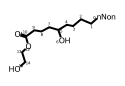 CCCCCCCCCCCCCC(O)CCCC(=O)OCCO